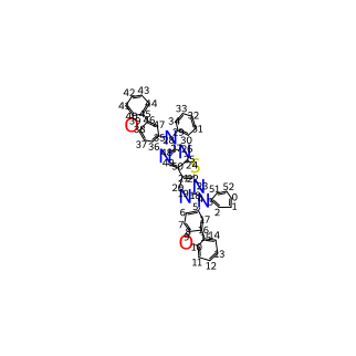 c1ccc(N(c2ccc3oc4ccccc4c3c2)c2ncc3c(n2)sc2nc(N(c4ccccc4)c4ccc5oc6ccccc6c5c4)ncc23)cc1